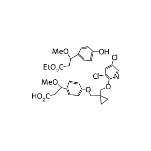 CCOC(=O)CC(OC)c1ccc(O)cc1.COC(CC(=O)O)c1ccc(OCC2(COc3ncc(Cl)cc3Cl)CC2)cc1